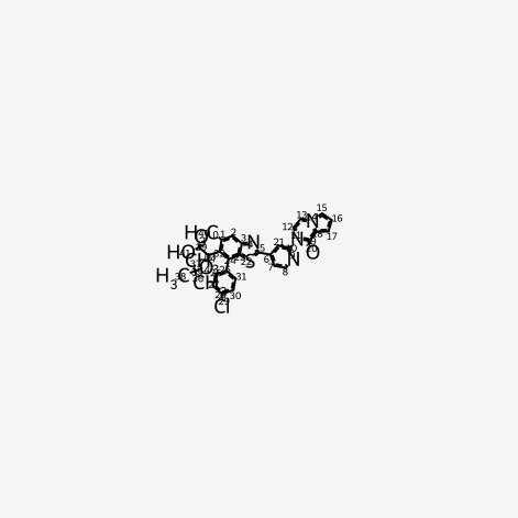 Cc1cc2nc(-c3ccnc(-n4ccn5cccc5c4=O)c3)sc2c(-c2ccc(Cl)cc2)c1[C@H](OC(C)(C)C)C(=O)O